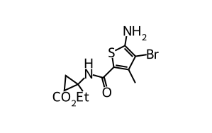 CCOC(=O)C1(NC(=O)c2sc(N)c(Br)c2C)CC1